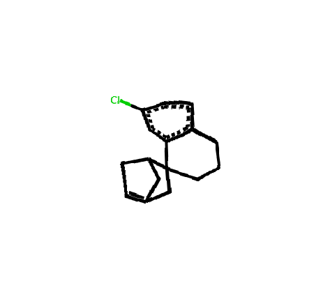 Clc1ccc2c(c1)C1(CCC2)CC2=CCC1C2